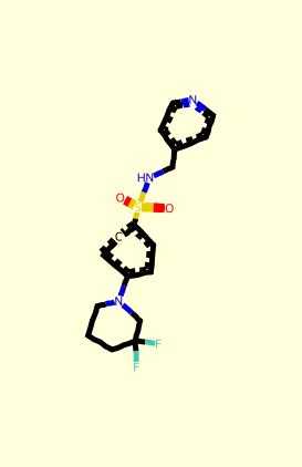 O=S(=O)(NCc1ccncc1)c1ccc(N2CCCC(F)(F)C2)cc1